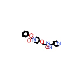 O=C(Oc1ccccc1)N1CCC(OCc2nc(-c3ccncc3)no2)CC1